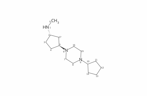 CN[C@H]1CC[C@H](N2CCN(C3CCCC3)CC2)C1